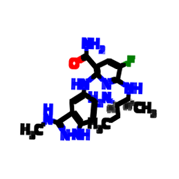 CC[C@H](N)[C@@H](C)Nc1nc(Nc2ccc3[nH]nc(NC)c3c2)c(C(N)=O)cc1F